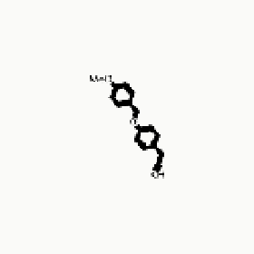 C#CCc1ccc(OCc2ccc(OC)cc2)cc1